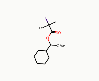 CCC(C)(I)C(=O)OC(OC)C1CCCCC1